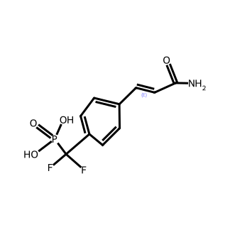 NC(=O)/C=C/c1ccc(C(F)(F)P(=O)(O)O)cc1